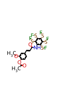 COc1cc(C=CC(=O)Nc2c(SF)c(SF)c(SF)c(SF)c2SF)ccc1OC(C)=O